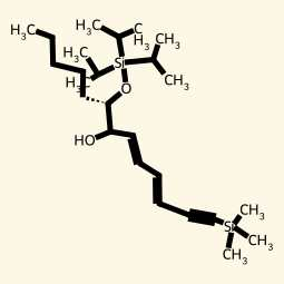 CCCCC[C@H](O[Si](C(C)C)(C(C)C)C(C)C)C(O)C=CC=CC#C[Si](C)(C)C